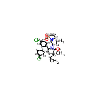 C=CC[C@@]1(C)C[C@H](c2cccc(Cl)c2)C(c2ccc(Cl)cc2)N([C@@H](CC)CN2CCCS2(=O)=O)C1=O